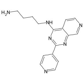 NCCCCNc1nc(-c2ccncc2)nc2cnccc12